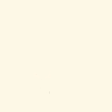 C=C(C)C(=O)OCCCCCSc1ccccc1